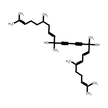 CC(C)=CCCC(C)=CC=CC(C)(O)C#CC#CC(C)(O)C=CCC(C)CCC=C(C)C